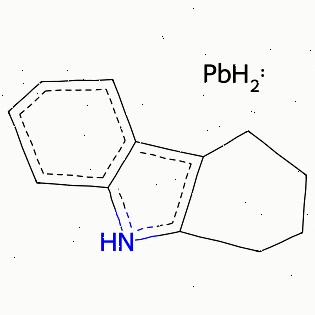 [PbH2].c1ccc2c3c([nH]c2c1)CCCC3